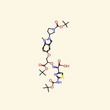 C[n+]1c2ccc(OCC(ON=C(C(=O)O)c3csc(NC(=O)OC(C)(C)C)n3)C(=O)OC(C)(C)C)cc2cn1C1CCN(C(=O)OC(C)(C)C)C1